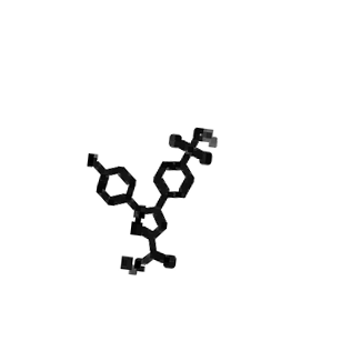 CC(=O)c1cc(-c2ccc(S(C)(=O)=O)cc2)n(-c2ccc(F)cc2)n1